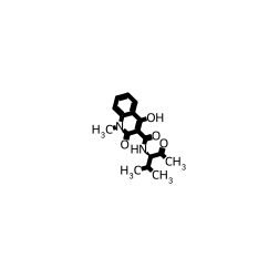 CC(=O)[C@H](NC(=O)c1c(O)c2ccccc2n(C)c1=O)C(C)C